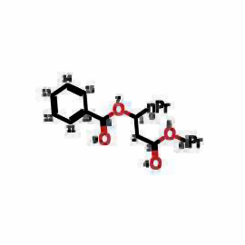 CCCC(CC(=O)OC(C)C)OC(=O)c1ccccc1